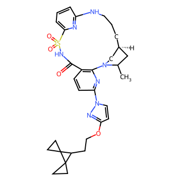 CC1C[C@@H]2CCCNc3cccc(n3)S(=O)(=O)NC(=O)c3ccc(-n4ccc(OCCC5C6(CC6)C56CC6)n4)nc3N1C2